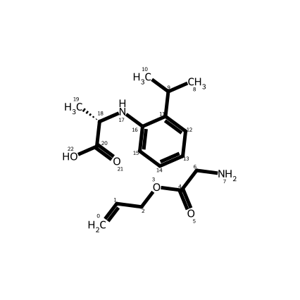 C=CCOC(=O)CN.CC(C)c1ccccc1N[C@@H](C)C(=O)O